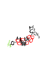 C=C(C)C(=O)O[C@@H]1C(=O)O[C@@H]2[C@H]3OC(c4ccc(C(F)(F)F)cc4)O[C@H]3O[C@@H]21